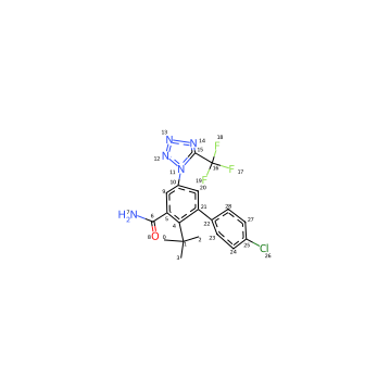 CC(C)(C)c1c(C(N)=O)cc(-n2nnnc2C(F)(F)F)cc1-c1ccc(Cl)cc1